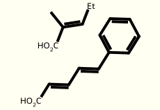 CCC=C(C)C(=O)O.O=C(O)C=CC=Cc1ccccc1